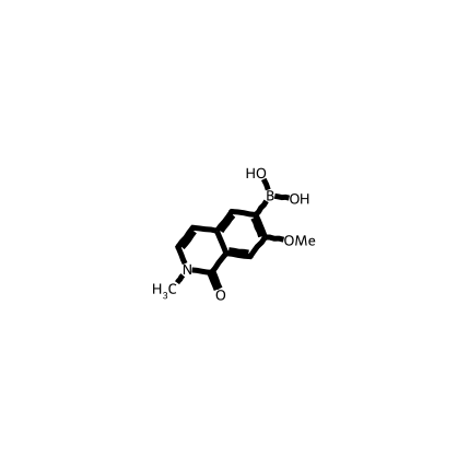 COc1cc2c(=O)n(C)ccc2cc1B(O)O